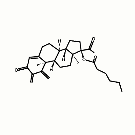 C=C1C(=C)[C@@]2(C)C(=CC1=O)CC[C@@H]1[C@@H]2CC[C@@]2(C)[C@H]1CC[C@]2(OC(=O)CCCCC)C(C)=O